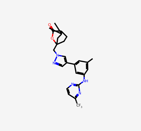 Cc1cc(Nc2nccc(C(F)(F)F)n2)cc(-c2cnn(CC34CCC(C(=O)O3)C(C)(C)C4)c2)c1